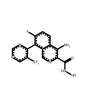 CCCNC(=O)c1ncc2c(-c3ncncc3C(F)(F)F)c(F)ccc2c1N